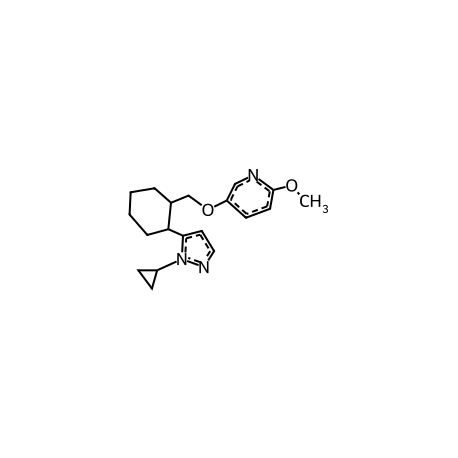 COc1ccc(OCC2CCCCC2c2ccnn2C2CC2)cn1